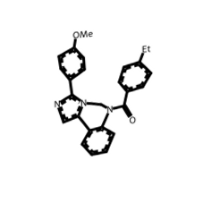 CCc1ccc(C(=O)N2Cn3c(cnc3-c3ccc(OC)cc3)-c3ccccc32)cc1